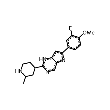 COc1ccc(-c2cc3[nH]c(C4CCNC(C)C4)ncc-3n2)cc1F